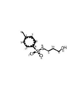 Cc1ccc(S(=O)(=O)SCCCO)cc1